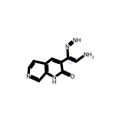 N=N/C(=C\N)c1cc2ccncc2[nH]c1=O